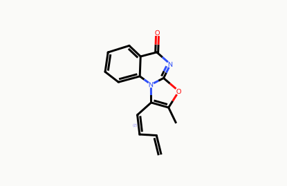 C=C/C=C\c1c(C)oc2nc(=O)c3ccccc3n12